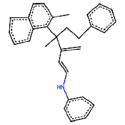 C=C(C=CNc1ccccc1)C(C)(CCc1ccccc1)c1c(C)ccc2ccccc12